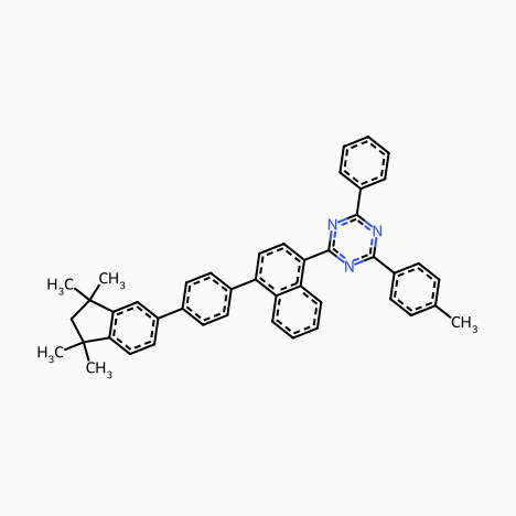 Cc1ccc(-c2nc(-c3ccccc3)nc(-c3ccc(-c4ccc(-c5ccc6c(c5)C(C)(C)CC6(C)C)cc4)c4ccccc34)n2)cc1